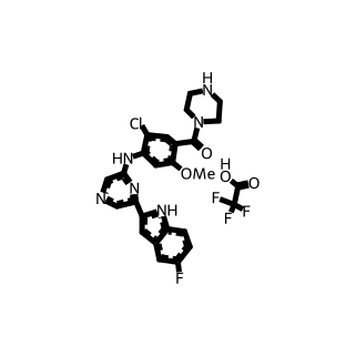 COc1cc(Nc2cncc(-c3cc4cc(F)ccc4[nH]3)n2)c(Cl)cc1C(=O)N1CCNCC1.O=C(O)C(F)(F)F